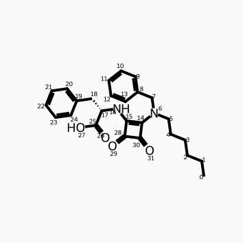 CCCCCCN(Cc1ccccc1)c1c(N[C@@H](Cc2ccccc2)C(=O)O)c(=O)c1=O